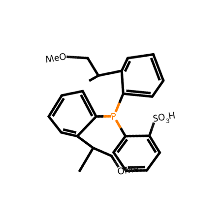 COCC(C)c1ccccc1P(c1ccccc1C(C)COC)c1ccccc1S(=O)(=O)O